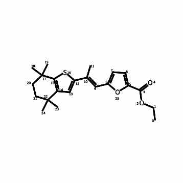 CCOC(=O)c1ccc(/C=C(\C)c2cc3c(s2)C(C)(C)CCC3(C)C)o1